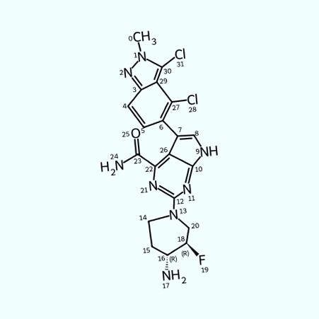 Cn1nc2ccc(-c3c[nH]c4nc(N5CC[C@@H](N)[C@H](F)C5)nc(C(N)=O)c34)c(Cl)c2c1Cl